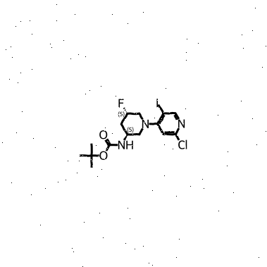 CC(C)(C)OC(=O)N[C@H]1C[C@H](F)CN(c2cc(Cl)ncc2I)C1